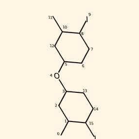 CC1CC(OC2CCC(I)C(C)C2)CCC1I